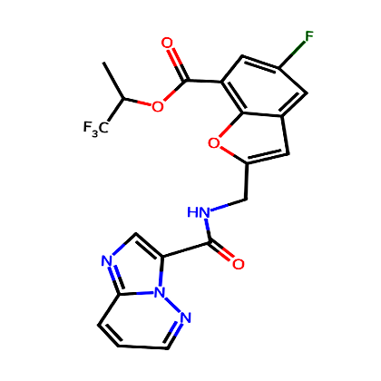 CC(OC(=O)c1cc(F)cc2cc(CNC(=O)c3cnc4cccnn34)oc12)C(F)(F)F